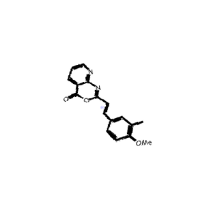 COc1ccc(/C=C/c2nc3ncccc3c(=O)o2)cc1C